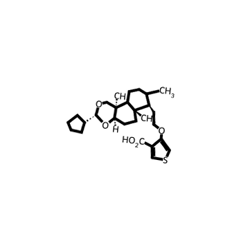 CC1CCC2[C@]3(C)CO[C@@H](C4CCCC4)O[C@@H]3CC[C@@]2(C)[C@@H]1CCOc1cscc1C(=O)O